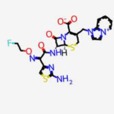 Nc1nc(/C(=N/OCCF)C(=O)N[C@@H]2C(=O)N3C(C(=O)[O-])=C(Cn4cc[n+]5ccccc45)CS[C@@H]23)cs1